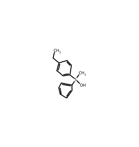 CCc1ccc(S(C)(O)c2ccccc2)cc1